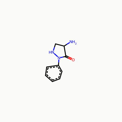 NC1CNN(c2ccccc2)C1=O